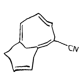 N#Cc1cccc2c1C=CC2